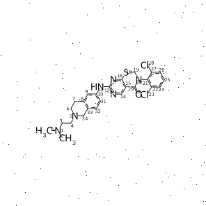 CN(C)CCN1CCc2cc(Nc3ncc4c(n3)SCN(c3c(Cl)cccc3Cl)C4=O)ccc2C1